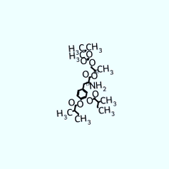 CCC(C)C(=O)Oc1ccc(C[C@H](N)C(=O)O[C@@H](C)COC(=O)OC(C)(C)C)cc1OC(=O)C(C)CC